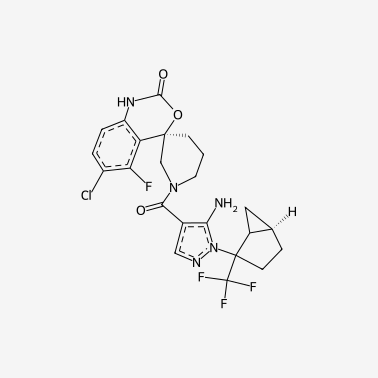 Nc1c(C(=O)N2CCC[C@@]3(C2)OC(=O)Nc2ccc(Cl)c(F)c23)cnn1C1(C(F)(F)F)CC[C@@H]2CC21